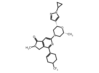 C[C@@H]1CN(c2cc3c(c(C4=CCC(C(F)(F)F)CC4)n2)CN(C)C3=O)C[C@H](c2cnn(C3CC3)c2)O1